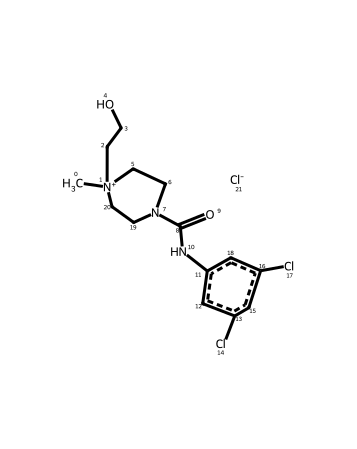 C[N+]1(CCO)CCN(C(=O)Nc2cc(Cl)cc(Cl)c2)CC1.[Cl-]